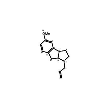 C=CCN1CCC2c3cc(OC)ccc3CC21